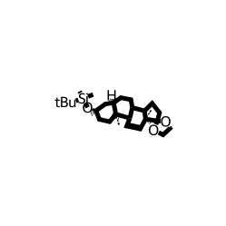 CC(C)(C)[Si](C)(C)O[C@@H]1CC[C@]2(C)C3C=C[C@@]4(C)C(CCC45OCCO5)C3CC[C@@H]2C1